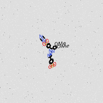 COc1cc2nc(-n3cc(-c4ccc(S(C)(=O)=O)cc4)cn3)nc(-c3ccc(S(=O)(=O)N4CCN(C)CC4)cc3)c2cc1OC